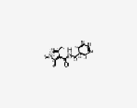 Cc1nn(C)c(C)c1C(=O)NCc1ccccc1